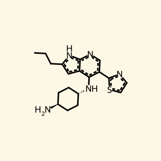 CCCc1cc2c(N[C@H]3CC[C@H](N)CC3)c(-c3nccs3)cnc2[nH]1